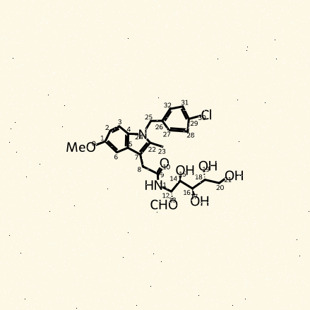 COc1ccc2c(c1)c(CC(=O)N[C@@H](C=O)[C@@H](O)[C@H](O)[C@H](O)CO)c(C)n2Cc1ccc(Cl)cc1